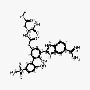 COC(=O)C[C@H](NC(=O)Cc1cc(-c2nc3cc(C(=N)N)ccc3[nH]2)c(O)c(-c2cc(S(N)(=O)=O)ccc2O)c1)C(=O)O